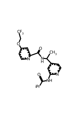 CC(C)C(=O)Nc1cc(C(C)NC(=O)c2cc(OCC(F)(F)F)ccn2)ccn1